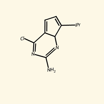 CC(C)C1=CC=C2C(Cl)=NC(N)=NC21